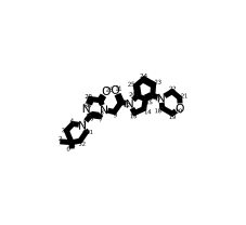 CC1(C)CCN(c2cn(CC(=O)N3CCc4c(N5CCOCC5)cccc43)c(=O)cn2)CC1